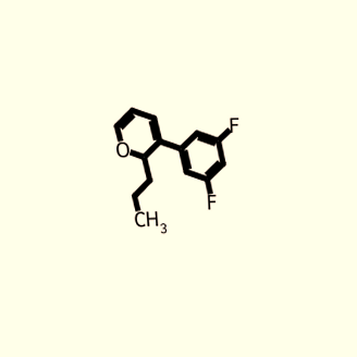 CCCC1OC=CC=C1c1cc(F)cc(F)c1